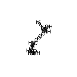 CNC(=O)c1nnc(NC(=O)C2CC2)cc1Nc1cccc(-c2ncn(CCNC(=O)CCOCCOCCOCCOCCC(=O)N[C@H](C(=O)N3C[C@H](O)C[C@H]3C(=O)NCc3ccc(-c4scnc4C)cc3)C(C)(C)C)n2)c1OC